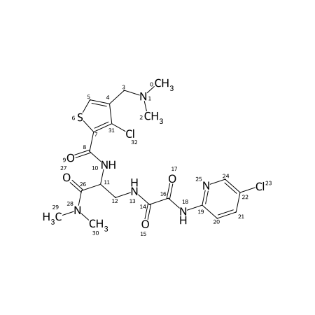 CN(C)Cc1csc(C(=O)NC(CNC(=O)C(=O)Nc2ccc(Cl)cn2)C(=O)N(C)C)c1Cl